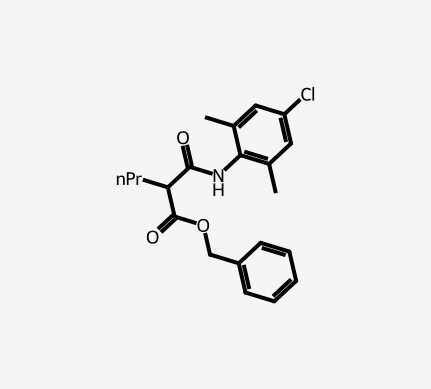 CCCC(C(=O)Nc1c(C)cc(Cl)cc1C)C(=O)OCc1ccccc1